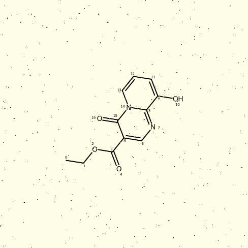 CCOC(=O)c1cnc2c(O)cccn2c1=O